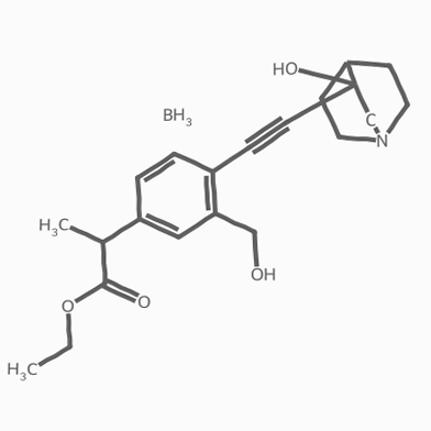 B.CCOC(=O)C(C)c1ccc(C#CC2(O)CN3CCC2CC3)c(CO)c1